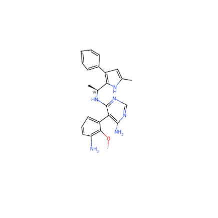 COc1c(N)cccc1-c1c(N)ncnc1N[C@@H](C)c1[nH]c(C)cc1-c1ccccc1